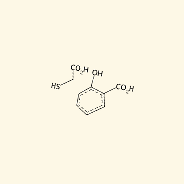 O=C(O)CS.O=C(O)c1ccccc1O